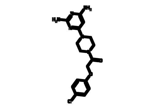 Nc1cc(N2CCN(C(=O)COc3ccc(Cl)cc3)CC2)nc(N)n1